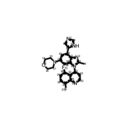 Cc1nc2c(-c3cnc[nH]3)cc(N3CCOCC3)cc2n1-c1ccnc2c(F)ccc(F)c12